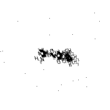 C[C@@H]1[C@H]2C[C@@H](C[C@H]1Nc1cnn(CC(=O)NCc3ccnc(N)c3)c(=O)c1Cl)C2(C)C